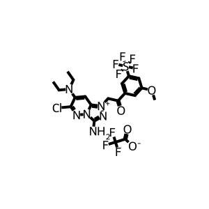 CCN(CC)c1cc2n(nc1Cl)c(N)n[n+]2CC(=O)c1cc(OC)cc(S(F)(F)(F)(F)F)c1.O=C([O-])C(F)(F)F